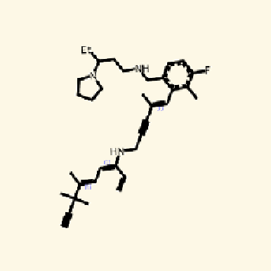 C#CC(C)(C)/C(C)=C/C=C(\C=C)NCC#C/C(C)=C/c1c(CNCCC(CC)N2CCCC2)ccc(F)c1C